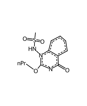 CCCOc1nc(=O)c2ccccc2n1NS(C)(=O)=O